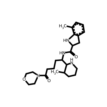 Cc1cccc2c1NC(C(=O)NC(CCCC(=O)N1CCOCC1)C1NCCCC1C)C2